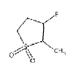 CC1C(F)CCS1(=O)=O